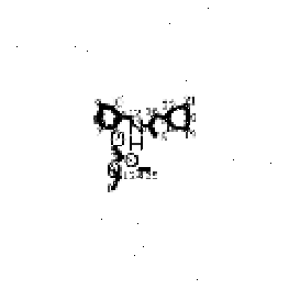 CCOC(COc1ccccc1CNC(C)CC1CCCCC1)OCC